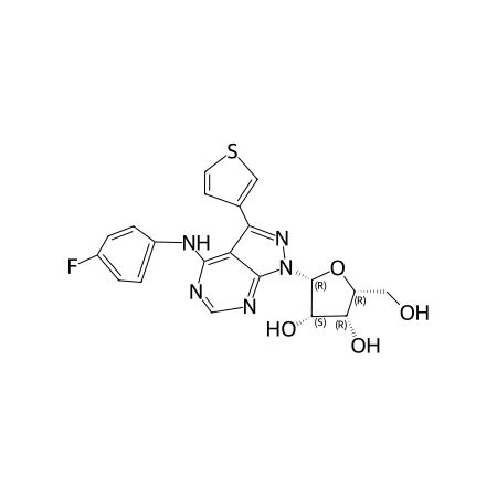 OC[C@H]1O[C@@H](n2nc(-c3ccsc3)c3c(Nc4ccc(F)cc4)ncnc32)[C@@H](O)[C@H]1O